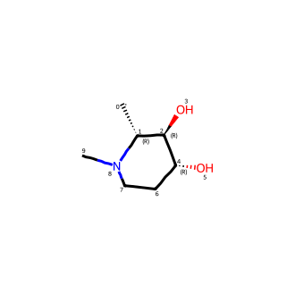 [CH2][C@@H]1[C@@H](O)[C@H](O)CCN1C